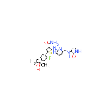 CC(C)(O)c1ccc(-c2cc(C(N)=O)c(Nc3cccc(CNC4CCNC4=O)n3)s2)c(F)c1